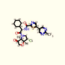 O=C(N[C@H](C(=O)N1C[C@H](Cl)[C@H]2OCC(=O)[C@H]21)C1CCCCC1)c1ncc(-c2cnc(C(F)(F)F)nc2)s1